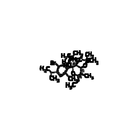 CC[C@H]1OC(O)(c2cc(Br)c(C(C)C)cc2C)[C@@H](O[Si](C)(C)C)[C@@H](O[Si](C)(C)C)[C@H]1C